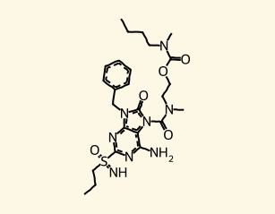 CCCCN(C)C(=O)OCCN(C)C(=O)n1c(=O)n(Cc2ccccc2)c2nc(S(=N)(=O)CCC)nc(N)c21